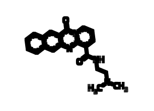 CN(C)CCNC(=O)c1cccn2c(=O)c3cc4ccccc4cc3nc12